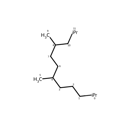 CC(C)CCCC(C)CCC(C)CC(C)C